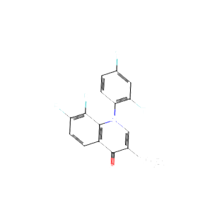 CCOC(=O)c1cn(-c2ccc(F)cc2F)c2c(F)c(F)ccc2c1=O